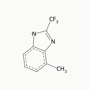 Cc1cccc2c1N=C(C(F)(F)F)[N]2